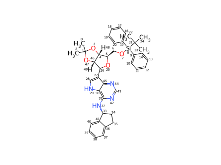 CC1(C)O[C@@H]2[C@@H](CO[Si](c3ccccc3)(c3ccccc3)C(C)(C)C)OC(c3c[nH]c4c(N[C@H]5CCc6ccccc65)ncnc34)[C@@H]2O1